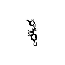 Cc1cn(Cc2nsc3cc(Cl)ccc23)cn1.Cl